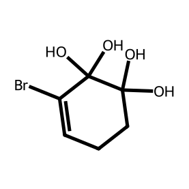 OC1(O)CCC=C(Br)C1(O)O